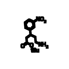 CC(C)(C)OC(=O)CC(CCN)c1cccc([N+](=O)[O-])c1